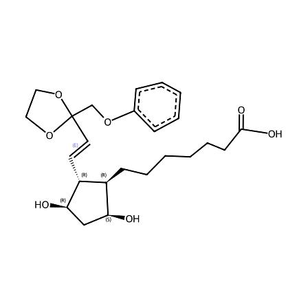 O=C(O)CCCCCC[C@@H]1[C@@H](/C=C/C2(COc3ccccc3)OCCO2)[C@H](O)C[C@@H]1O